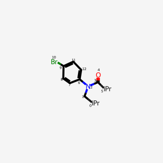 CC(C)CN(C(=O)C(C)C)c1ccc(Br)cc1